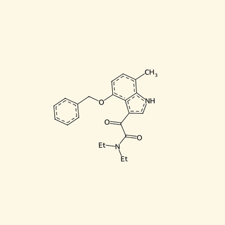 CCN(CC)C(=O)C(=O)c1c[nH]c2c(C)ccc(OCc3ccccc3)c12